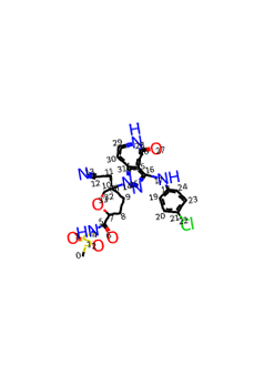 CS(=O)(=O)NC(=O)C1CC[C@@](CC#N)(n2nc(Nc3ccc(Cl)cc3)c3c(=O)[nH]ccc32)CO1